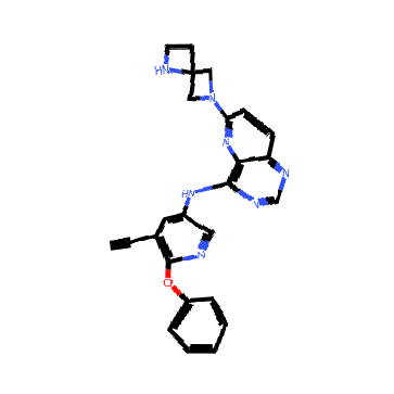 C#Cc1cc(Nc2ncnc3ccc(N4CC5(CCN5)C4)nc23)cnc1Oc1ccccc1